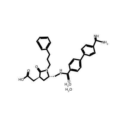 N=C(N)c1ccc(-c2ccc(C(=O)NC[C@@H]3C[C@@H](CC(=O)O)C(=O)N3CCCc3ccccc3)cc2)cc1.O.O